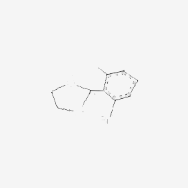 Fc1cccc(Br)c1C1OCCO1